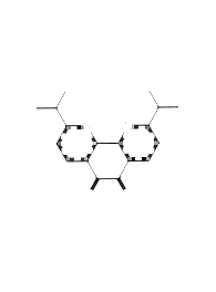 CC(C)c1ccc2c(n1)-c1nc(C(C)C)ccc1C(=O)C2=O